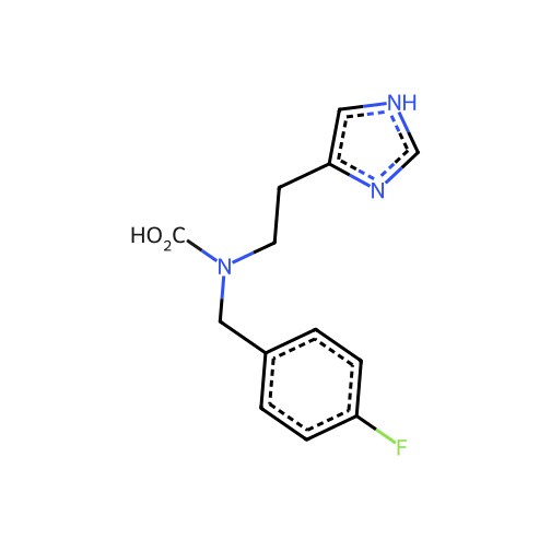 O=C(O)N(CCc1c[nH]cn1)Cc1ccc(F)cc1